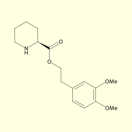 COc1ccc(CCOC(=O)[C@@H]2CCCCN2)cc1OC